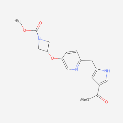 COC(=O)c1c[nH]c(Cc2ccc(OC3CN(C(=O)OC(C)(C)C)C3)cn2)c1